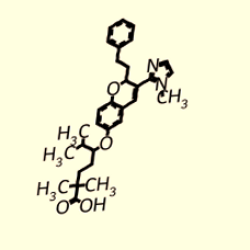 CC(C)C(CCC(C)(C)C(=O)O)Oc1ccc2c(c1)C=C(c1nccn1C)C(CCc1ccccc1)O2